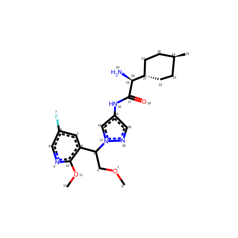 COCC(c1cc(F)cnc1OC)n1cc(NC(=O)[C@@H](N)[C@H]2CC[C@H](C)CC2)cn1